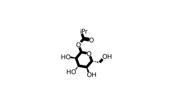 CC(C)C(=O)OC1O[C@H](CO)[C@@H](O)[C@H](O)[C@H]1O